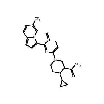 C=N/C(=N\C(=C/C)N1CCN(C2CC2)C(C(N)=O)C1)c1cnc2ccc(C(F)(F)F)cn12